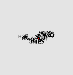 O=C(CO)NCCn1cnc2c(ncn2[C@@H]2O[C@@H]3COP(=O)(S)O[C@H]4[C@@H](F)[C@H](n5cc6c7c(ncnc75)SCCC6)O[C@@H]4COP(=O)(S)O[C@@H]2[C@@H]3O)c1=O